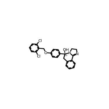 O[C@]1(c2ccc(OCc3c(Cl)cccc3Cl)cc2)Cc2ccccc2C2=NCCN21